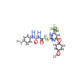 CCc1ccc(NC(=O)NC(=O)CSc2nc(Oc3ccc(OC)cc3)cc(C(F)(F)F)n2)cc1